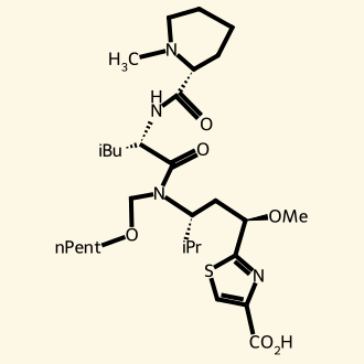 CCCCCOCN(C(=O)[C@@H](NC(=O)[C@H]1CCCCN1C)[C@@H](C)CC)[C@H](C[C@@H](OC)c1nc(C(=O)O)cs1)C(C)C